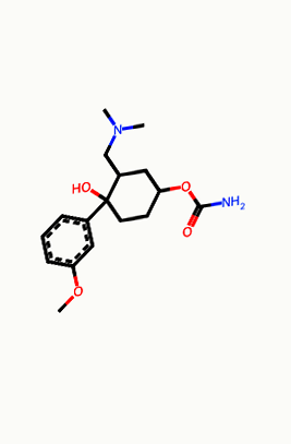 COc1cccc(C2(O)CCC(OC(N)=O)CC2CN(C)C)c1